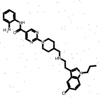 CCCn1cc(CCNCC2CCN(c3ncc(C(=O)Nc4ccccc4N)cn3)CC2)c2cc(Cl)ccc21